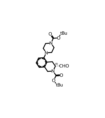 CC(C)(C)OC(=O)N1CCN(c2cccc3c2C[C@H](C=O)N(C(=O)OC(C)(C)C)C3)CC1